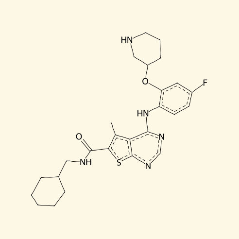 Cc1c(C(=O)NCC2CCCCC2)sc2ncnc(Nc3ccc(F)cc3OC3CCCNC3)c12